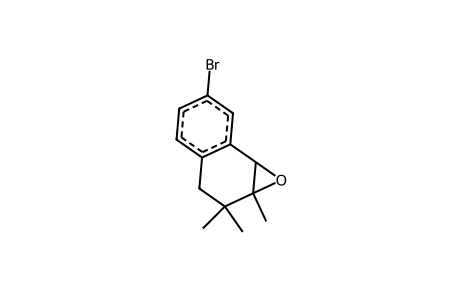 CC1(C)Cc2ccc(Br)cc2C2OC21C